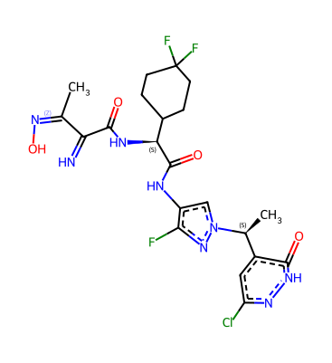 C/C(=N/O)C(=N)C(=O)N[C@H](C(=O)Nc1cn([C@@H](C)c2cc(Cl)n[nH]c2=O)nc1F)C1CCC(F)(F)CC1